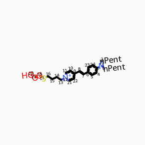 CCCCCN(CCCCC)c1ccc(C=Cc2cc[n+](CCCCSOOO)cc2)cc1